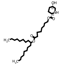 CCCCCCCCC(CCCCCCCC)OC(=O)CCCCCCCOC(=O)[C@@H]1CC[C@H](O)CN1